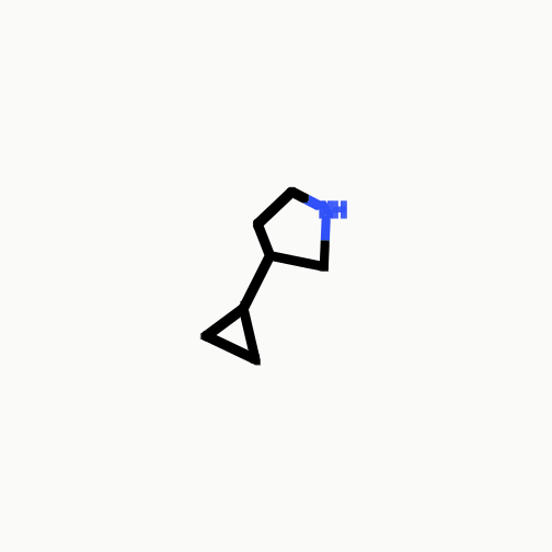 C1CC([C]2CC2)CN1